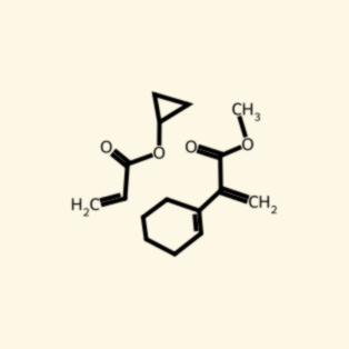 C=C(C(=O)OC)C1=CCCCC1.C=CC(=O)OC1CC1